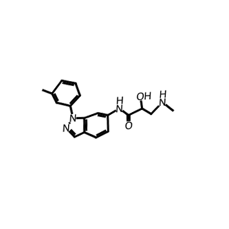 CNCC(O)C(=O)Nc1ccc2cnn(-c3cccc(C)c3)c2c1